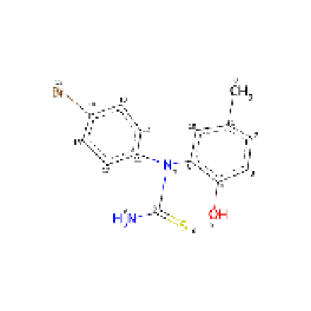 Cc1ccc(O)c(N(C(N)=S)c2ccc(Br)cc2)c1